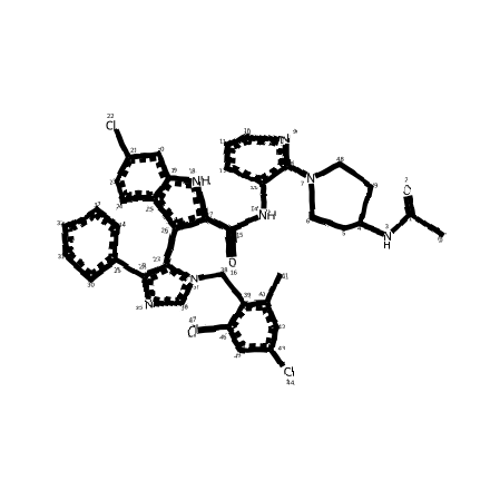 CC(=O)NC1CCN(c2ncccc2NC(=O)c2[nH]c3cc(Cl)ccc3c2-c2c(-c3ccccc3)ncn2Cc2c(C)cc(Cl)cc2Cl)CC1